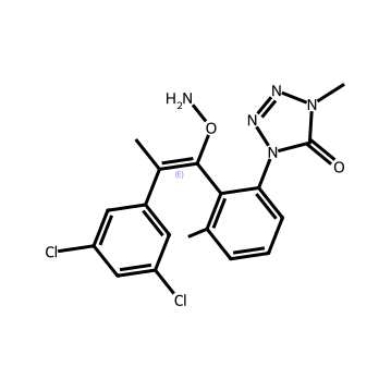 C/C(=C(\ON)c1c(C)cccc1-n1nnn(C)c1=O)c1cc(Cl)cc(Cl)c1